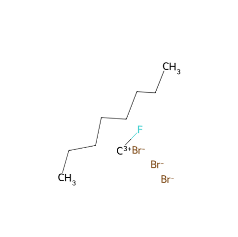 CCCCCCCC.[Br-].[Br-].[Br-].[C+3]F